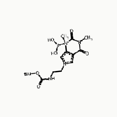 CN1C(=O)c2cn(CCNC(=O)OC(C)(C)C)cc2[N+](C)(B(O)O)C1=O